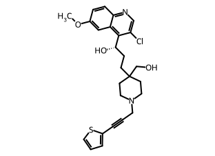 COc1ccc2ncc(Cl)c([C@@H](O)CCC3(CO)CCN(CC#Cc4cccs4)CC3)c2c1